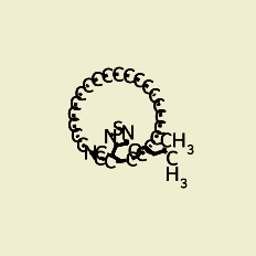 CC(C)CCOc1nsnc1C1CN2CCCCCCCCCCCCCCCCCCCCCC1CC2